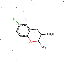 O=C(O)C1Cc2cc(Br)ccc2OC1C(F)(F)F